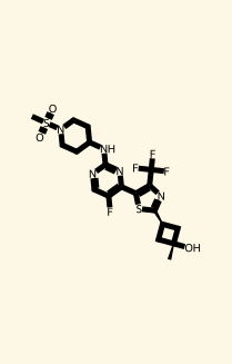 CS(=O)(=O)N1CCC(Nc2ncc(F)c(-c3sc([C@H]4C[C@](C)(O)C4)nc3C(F)(F)F)n2)CC1